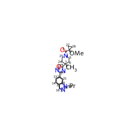 COC1(C(=O)N2CCC(C)(c3nc(-c4ccc5cnn(C(C)C)c5c4)no3)CC2)CC1